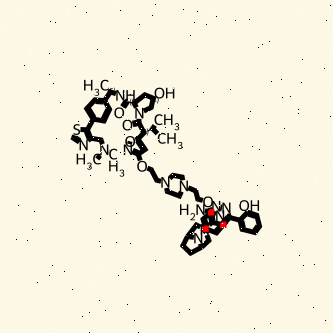 CC(C)[C@@H](C(=O)N1C[C@H](O)C[C@H]1C(=O)N[C@@H](C)c1ccc(-c2scnc2CN(C)C)cc1)c1cc(OCCN2CCN(CCOc3cc(N4C5CCC4CN(c4cc(-c6ccccc6O)nnc4N)C5)ccn3)CC2)no1